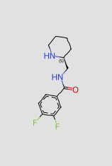 O=C(NC[C@@H]1CCCCN1)c1ccc(F)c(F)c1